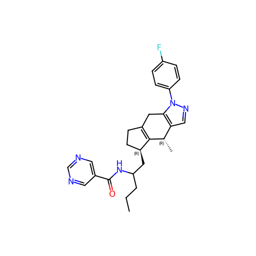 CCCC(C[C@H]1CCC2=C1[C@@H](C)c1cnn(-c3ccc(F)cc3)c1C2)NC(=O)c1cncnc1